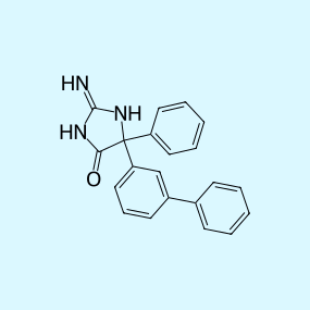 N=C1NC(=O)C(c2ccccc2)(c2cccc(-c3ccccc3)c2)N1